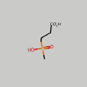 CP(=O)(O)CCC(=O)O